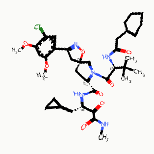 CNC(=O)C(=O)[C@H](CC1CC1)NC(=O)[C@@H]1C[C@]2(CC(c3cc(Cl)c(OC)cc3OC)=NO2)CN1C(=O)[C@@H](NC(=O)CC1CCCCC1)C(C)(C)C